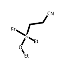 CCO[Si](CC)(CC)CCC#N